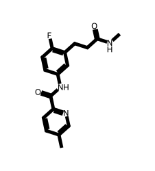 CNC(=O)CCc1cc(NC(=O)c2ccc(C)cn2)ccc1F